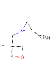 CC1(CN2CC2C(=O)O)COC1